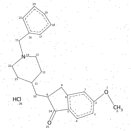 COc1ccc2c(c1)CC(CC1CCN(Cc3ccccc3)CC1)C2=O.Cl